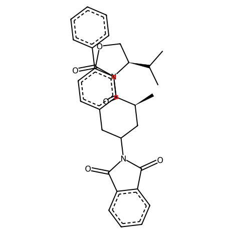 CC(C)[C@@H]1COC(=O)N1C(=O)[C@@H](C)CC(Cc1ccc(-c2ccccc2)cc1)N1C(=O)c2ccccc2C1=O